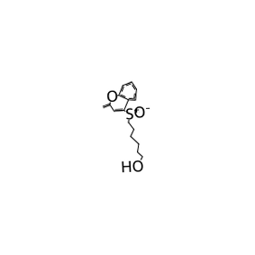 C=C1C=C([S+]([O-])CCCCCCO)c2ccccc2O1